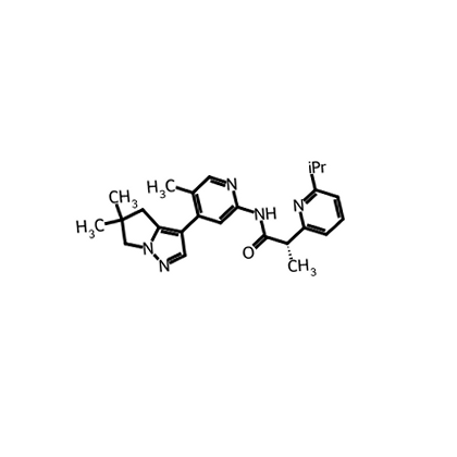 Cc1cnc(NC(=O)[C@@H](C)c2cccc(C(C)C)n2)cc1-c1cnn2c1CC(C)(C)C2